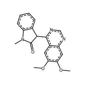 COc1cc2ncnc(C3C(=O)N(C)c4ccccc43)c2cc1OC